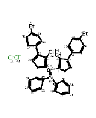 CCc1ccc(C2=CC[C]([Zr+2]([C]3=C(C)C(c4ccc(CC)cc4)=CC3)=[Si](c3ccccc3)c3ccccc3)=C2C)cc1.[Cl-].[Cl-]